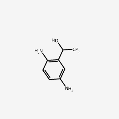 Nc1ccc(N)c(C(O)C(F)(F)F)c1